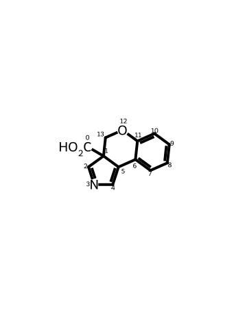 O=C(O)C12C=NC=C1c1ccccc1OC2